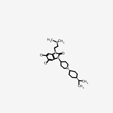 CC(C)[C@H]1CC[C@H](N2CCC(n3c(=O)n(CCN(C)C)c4cc(Cl)c(Cl)cc43)CC2)CC1